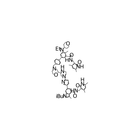 CC[C@H](C)n1cc(C)c2c(C(=O)NCc3c(C)cc(C)[nH]c3=O)cc(-c3ccc(N4CCNC(C5CN(Cc6ccc(-c7cc(C(=O)NCc8c(C)cc(C)[nH]c8=O)c(C)c(N(CC)C8CCOCC8)c7)cc6)CCO5)C4)nc3)cc21